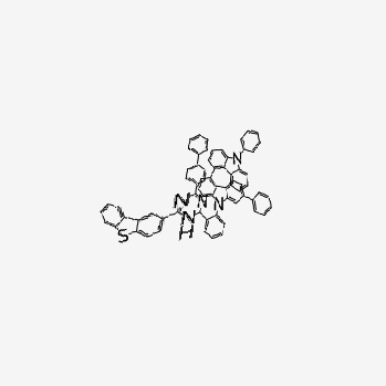 c1ccc(-c2ccc(C3=NC(c4ccccc4-n4c5cc(-c6ccccc6)ccc5c5c(-c6cccc7c6c6ccccc6n7-c6ccccc6)cccc54)NC(c4ccc5sc6ccccc6c5c4)=N3)cc2)cc1